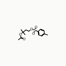 CC(=O)OC(C)(C)CCOS(=O)(=O)c1ccc(C)cc1